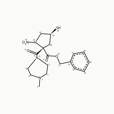 CN1CCN(C(=O)[C@]2(C(=O)OCc3ccccc3)C[C@H](S)CN2[N+](=O)[O-])CC1